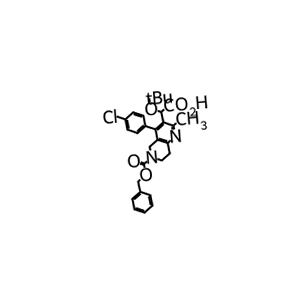 Cc1nc2c(c(-c3ccc(Cl)cc3)c1C(OC(C)(C)C)C(=O)O)CN(C(=O)OCc1ccccc1)CC2